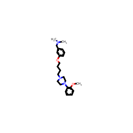 COc1ccccc1N1CCN(CCCCOc2cccc(CN(C)C)c2)CC1